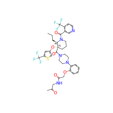 CCC[C@H]1N(C(=O)c2cnccc2C(F)(F)F)CCC[C@@]1(Oc1csc(C(F)(F)F)c1)C(=O)N1CCN(c2ccccc2OCC(=O)NCC(C)=O)CC1